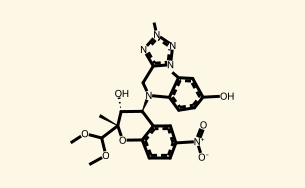 COC(OC)[C@@]1(C)Oc2ccc([N+](=O)[O-])cc2[C@H](N(Cc2nnn(C)n2)c2ccc(O)cc2C)[C@H]1O